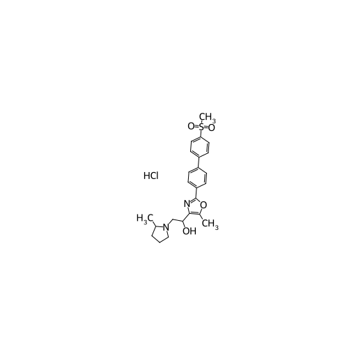 Cc1oc(-c2ccc(-c3ccc(S(C)(=O)=O)cc3)cc2)nc1C(O)CN1CCCC1C.Cl